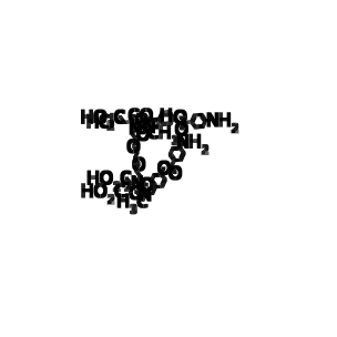 CN(Cc1ccc(OC(=O)c2ccc(N)cc2)cc1)S(=O)(=O)N(CCOCCOCCN(C(CC(=O)O)C(=O)O)S(=O)(=O)N(C)Cc1ccc(OC(=O)c2ccc(N)cc2)cc1)C(CC(=O)O)C(=O)O.Cl